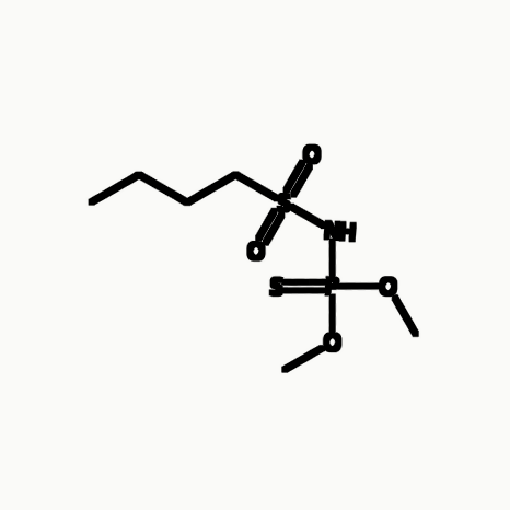 CCCCS(=O)(=O)NP(=S)(OC)OC